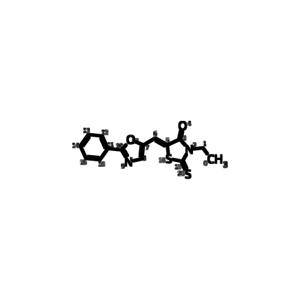 CCN1C(=O)/C(=C/c2cnc(-c3ccccc3)o2)SC1=S